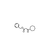 O=C(CNC1CCCCCC1)OCc1ccccc1